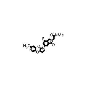 CNC(=O)CN1Cc2c(F)cc(N3CC[C@@H](Oc4ccc(C)nc4)C3=O)cc2C1=O